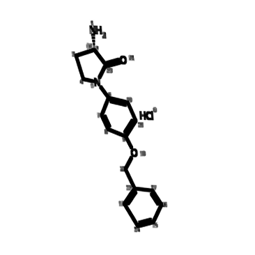 Cl.N[C@H]1CCN(c2ccc(OCc3ccccc3)cc2)C1=O